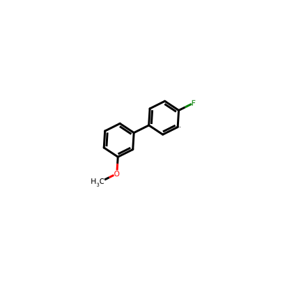 COc1cccc(-c2c[c]c(F)cc2)c1